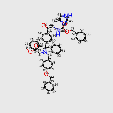 COC(=O)CN(Cc1ccc(OCc2ccccc2)cc1)C(c1ccccc1)(c1ccccc1)c1ccc(C(=O)[C@H](Cc2c[nH]cn2)NC(=O)OCc2ccccc2)cc1